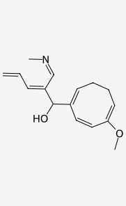 C=C/C=C(\C=N/C)C(O)C1=C/CCC=C(OC)/C=C\1